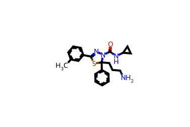 Cc1cccc(C2=NN(C(=O)NC3CC3)C(CCCN)(c3ccccc3)S2)c1